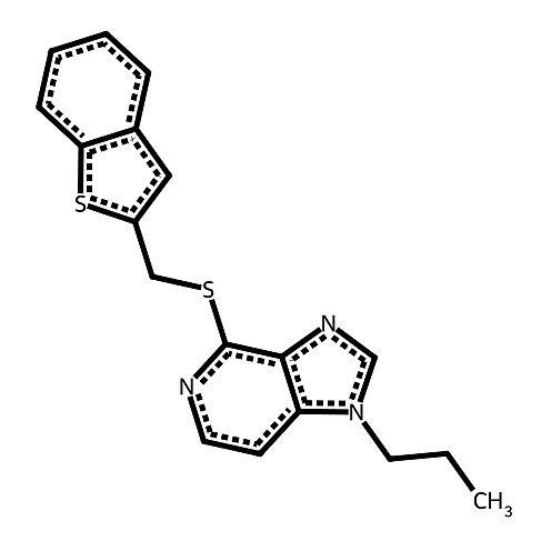 CCCn1cnc2c(SCc3cc4ccccc4s3)nccc21